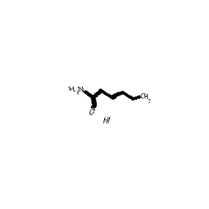 CCCCCC(N)=O.I